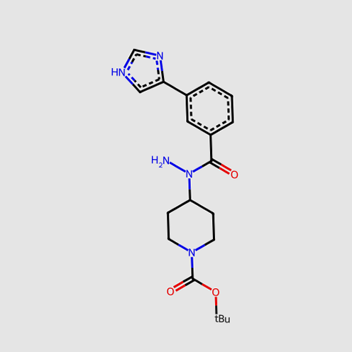 CC(C)(C)OC(=O)N1CCC(N(N)C(=O)c2cccc(-c3c[nH]cn3)c2)CC1